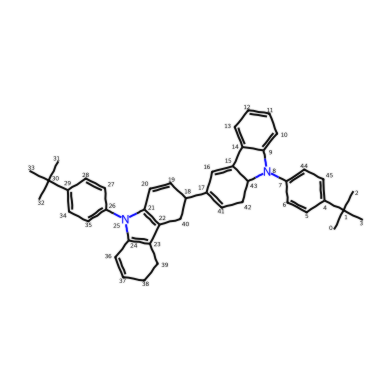 CC(C)(C)c1ccc(N2c3ccccc3C3=CC(C4C=Cc5c(c6c(n5-c5ccc(C(C)(C)C)cc5)C=CCC6)C4)=CCC32)cc1